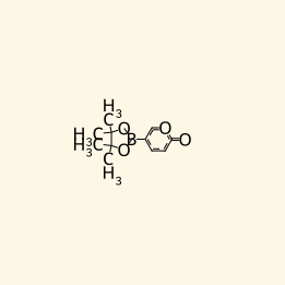 CC1(C)OB(c2ccc(=O)oc2)OC1(C)C